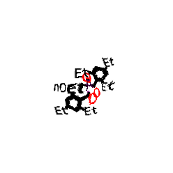 CCCCCCCCP(=O)(C(=O)c1c(CC)cc(CC)cc1CC)C(=O)c1c(CC)cc(CC)cc1CC